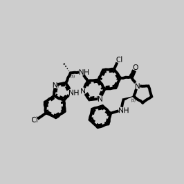 C[C@H](Nc1ncnc2cc(C(=O)N3CCC[C@H]3CNc3ccccc3)c(Cl)cc12)c1nc2cc(Cl)ccc2[nH]1